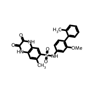 COc1cc(NS(=O)(=O)c2cc3[nH]c(=O)c(=O)[nH]c3cc2C)ccc1-c1ccccc1C